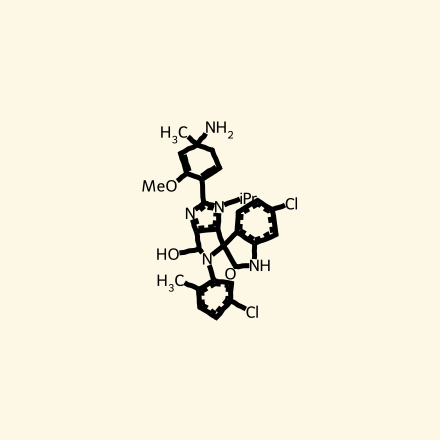 COC1=CC(C)(N)CC=C1c1nc2c(n1C(C)C)C1(C(=O)Nc3cc(Cl)ccc31)N(c1cc(Cl)ccc1C)C2O